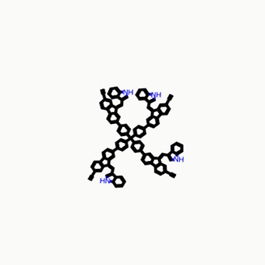 C#Cc1ccc2c(c1)/C(=C\C1=CNC3C=CC=CC13)c1cc(-c3ccc(C(c4ccc(-c5ccc6c(c5)/C(=C/c5c[nH]c7ccccc57)c5cc(C#C)ccc5-6)cc4)(c4ccc(-c5ccc6c(c5)/C(=C/c5c[nH]c7ccccc57)c5cc(C#C)ccc5-6)cc4)c4ccc(-c5ccc6c(c5)/C(=C/c5c[nH]c7ccccc57)c5cc(C#C)ccc5-6)cc4)cc3)ccc1-2